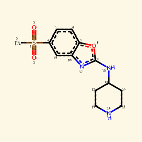 CCS(=O)(=O)c1ccc2oc(NC3CCNCC3)nc2c1